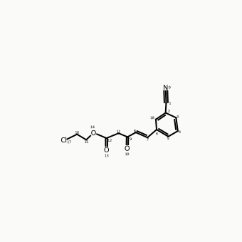 N#Cc1cccc(C=CC(=O)CC(=O)OCCCl)c1